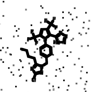 CCCCc1nc(Cl)nn1Cc1ccc(-n2c(C(F)(F)F)cc(C(F)(F)F)c2-c2nnn[nH]2)cc1